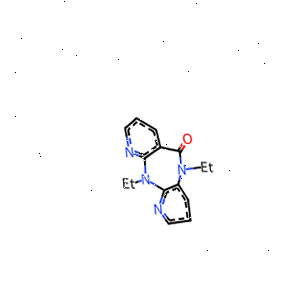 CCN1C(=O)c2cccnc2N(CC)c2ncccc21